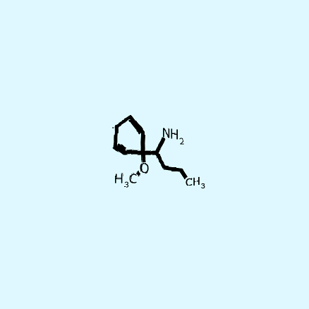 CCCC(N)C1(OC)C=C[CH]C=C1